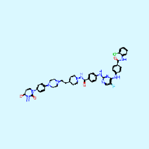 O=C1CCN(c2ccc(N3CCN(CCC4CCN(NC(=O)c5ccc(Nc6ncc(F)c(Nc7ccc(C(=O)Nc8ccccc8Cl)cc7)n6)cc5)CC4)CC3)cc2)C(=O)N1